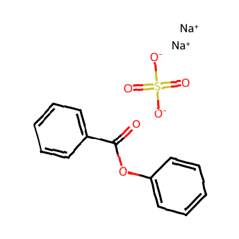 O=C(Oc1ccccc1)c1ccccc1.O=S(=O)([O-])[O-].[Na+].[Na+]